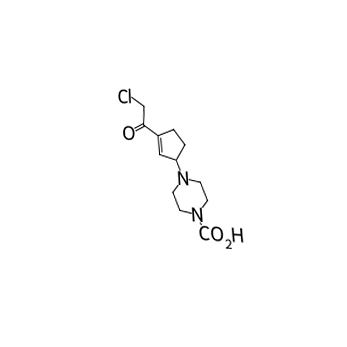 O=C(CCl)C1=CC(N2CCN(C(=O)O)CC2)CC1